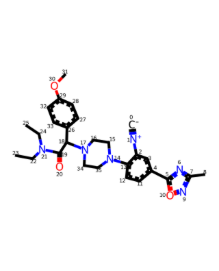 [C-]#[N+]c1cc(-c2nc(C)no2)ccc1N1CCN(C(C(=O)N(CC)CC)c2ccc(OC)cc2)CC1